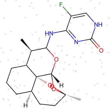 C[C@H]1C(Nc2nc(=O)[nH]cc2F)O[C@@H]2O[C@]3(C)CC[C@H]4CCCC1[C@]42OO3